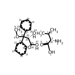 CC(C)[C@H](N)C(=O)O.COC(c1ccccc1)(c1ccccc1)[C@H](O)C(=O)O